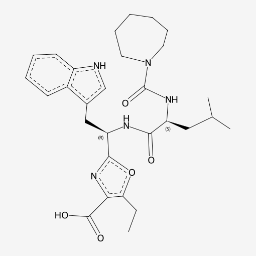 CCc1oc([C@@H](Cc2c[nH]c3ccccc23)NC(=O)[C@H](CC(C)C)NC(=O)N2CCCCCC2)nc1C(=O)O